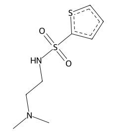 CN(C)CCNS(=O)(=O)c1cccs1